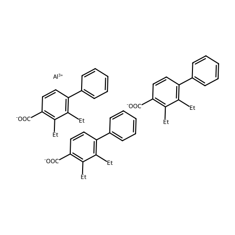 CCc1c(C(=O)[O-])ccc(-c2ccccc2)c1CC.CCc1c(C(=O)[O-])ccc(-c2ccccc2)c1CC.CCc1c(C(=O)[O-])ccc(-c2ccccc2)c1CC.[Al+3]